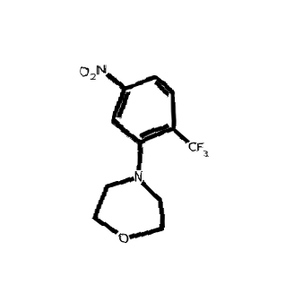 O=[N+]([O-])c1ccc(C(F)(F)F)c(N2CCOCC2)c1